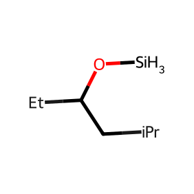 CCC(CC(C)C)O[SiH3]